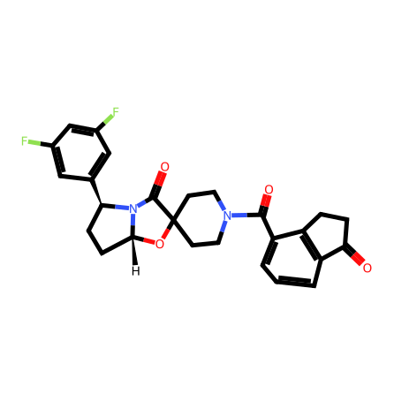 O=C1CCc2c1cccc2C(=O)N1CCC2(CC1)O[C@@H]1CC[C@@H](c3cc(F)cc(F)c3)N1C2=O